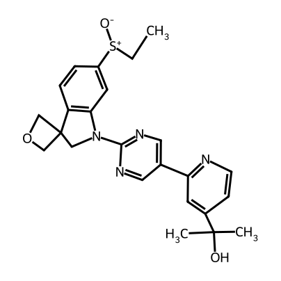 CC[S+]([O-])c1ccc2c(c1)N(c1ncc(-c3cc(C(C)(C)O)ccn3)cn1)CC21COC1